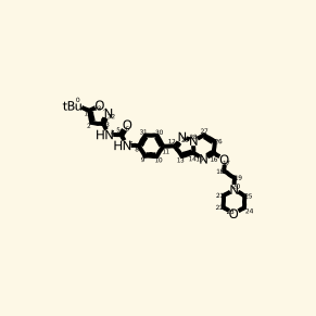 CC(C)(C)c1cc(NC(=O)Nc2ccc(-c3cc4nc(OCCN5CCOCC5)ccn4n3)cc2)no1